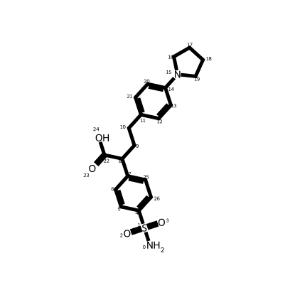 NS(=O)(=O)c1ccc(C(CCc2ccc(N3CCCC3)cc2)C(=O)O)cc1